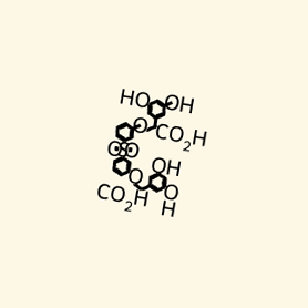 O=C(O)C(COc1cccc(S(=O)(=O)c2cccc(OCC(C(=O)O)c3cc(O)cc(O)c3)c2)c1)c1cc(O)cc(O)c1